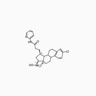 C[C@]12CCC3c4ccc(Cl)cc4CCC3C1[C@H](CCC(=O)Nc1ccccn1)C/C2=N\O